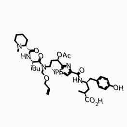 C=CCOCN(C(=O)[C@@H](NC(=O)[C@H]1CCCCN1C)[C@@H](C)CC)[C@H](C[C@@H](OC(C)=O)c1nc(C(=O)N[C@@H](Cc2ccc(O)cc2)C[C@H](C)C(=O)O)cs1)C(C)C